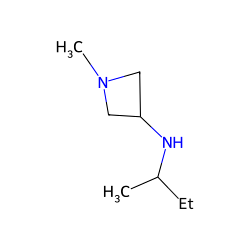 CCC(C)NC1CN(C)C1